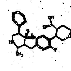 C[C@@H]1NC[C@@H](c2ccccc2)S(=O)(=O)C1Cc1cc(F)c([C@@H]2COCC[C@H]2C(=O)O)cc1F